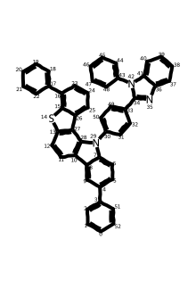 c1ccc(-c2ccc3c(c2)c2ccc4sc5c(-c6ccccc6)cccc5c4c2n3-c2ccc(-c3nc4ccccc4n3-c3ccccc3)cc2)cc1